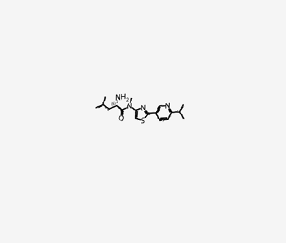 CC(C)C[C@H](N)C(=O)N(C)c1csc(-c2ccc(C(C)C)nc2)n1